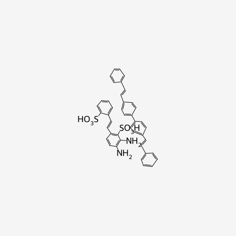 C(=Cc1ccc(-c2ccc(C=Cc3ccccc3)cc2)cc1)c1ccccc1.Nc1ccc(C=Cc2ccccc2S(=O)(=O)O)c(S(=O)(=O)O)c1N